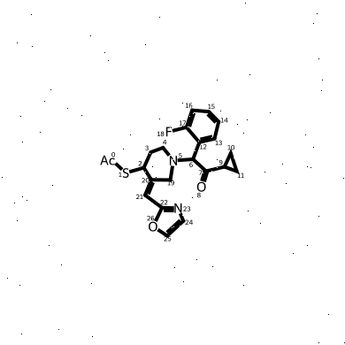 CC(=O)SC1CCN(C(C(=O)C2CC2)c2ccccc2F)CC1=Cc1ncco1